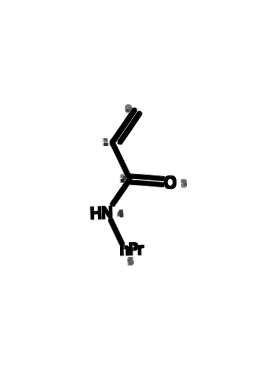 C=CC(=O)NC[CH]C